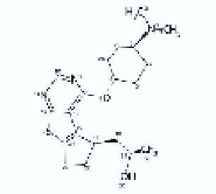 CN(C)[C@H]1CC[C@H](Oc2ncnc3sc4c(c23)[C@@H](C[C@H](O)C(F)(F)F)CC4)CC1